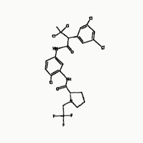 CC(Cl)(Cl)C(C(=O)Nc1ccc(Cl)c(NC(=O)C2CCCN2CC(F)(F)F)c1)c1cc(Cl)cc(Cl)c1